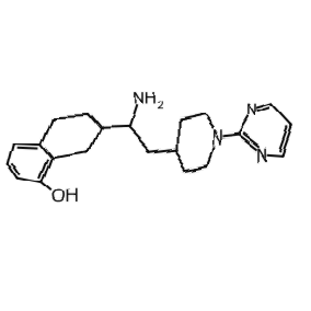 NC(CC1CCN(c2ncccn2)CC1)C1CCc2cccc(O)c2C1